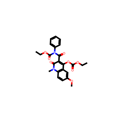 CCOC(=O)Oc1c(C(=O)N(C(=O)OCC)c2ccccc2)c(=O)n(C)c2ccc(OC)cc12